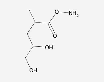 CC(CC(O)CO)C(=O)ON